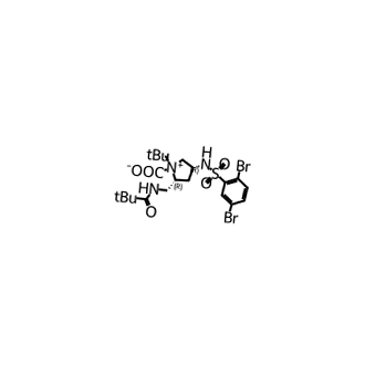 CC(C)(C)C(=O)NC[C@H]1C[C@@H](NS(=O)(=O)c2cc(Br)ccc2Br)C[N+]1(C(=O)[O-])C(C)(C)C